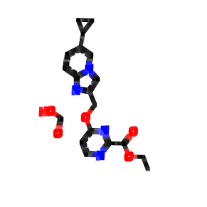 CCOC(=O)c1nccc(OCc2cn3cc(C4CC4)ccc3n2)n1.O=CO